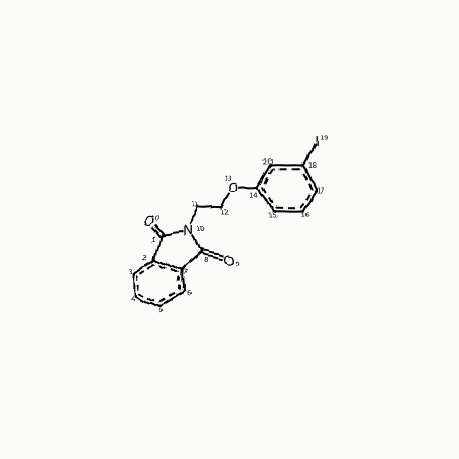 O=C1c2ccccc2C(=O)N1CCOc1cccc(I)c1